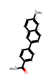 COC(=O)c1ccc(-c2ccc3cc(OC)ccc3c2)cc1